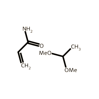 C=CC(N)=O.COC(C)OC